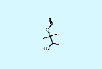 C=COC(C)(C)C(C)N